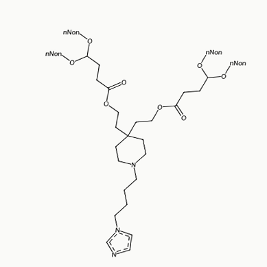 CCCCCCCCCOC(CCC(=O)OCCC1(CCOC(=O)CCC(OCCCCCCCCC)OCCCCCCCCC)CCN(CCCCn2ccnc2)CC1)OCCCCCCCCC